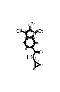 CCn1c(C(C)C)c(Cl)c2ccc(C(=O)NC3CC3)cc21